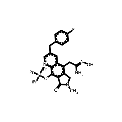 CC(C)[Si](Oc1c2c(c(C/C(N)=N/O)c3cc(Cc4ccc(F)cc4)cnc13)CN(C)C2=O)(C(C)C)C(C)C